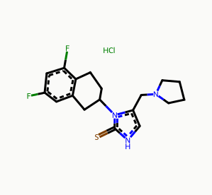 Cl.Fc1cc(F)c2c(c1)CC(n1c(CN3CCCC3)c[nH]c1=S)CC2